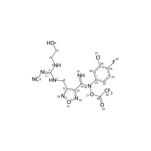 N#C/N=C(/NCCO)NCc1nonc1C(=N)N(OC(=O)C(F)(F)F)c1ccc(F)c(Cl)c1